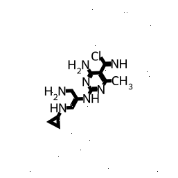 Cc1nc(N/C(=C/NC2CC2)CN)nc(N)c1C(=N)Cl